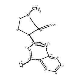 CN1CCC(c2cc(Cl)c3ccccc3n2)C1=O